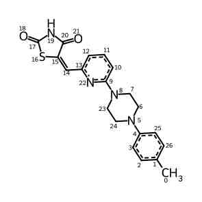 Cc1ccc(N2CCN(c3cccc(/C=C4/SC(=O)NC4=O)n3)CC2)cc1